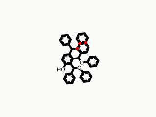 Oc1ccc(C(Oc2ccccc2)c2ccccc2)c(C(Oc2ccccc2)c2ccccc2)c1C(Oc1ccccc1)c1ccccc1